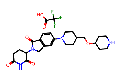 O=C(O)C(F)(F)F.O=C1CCC(N2Cc3cc(N4CCC(COC5CCNCC5)CC4)ccc3C2=O)C(=O)N1